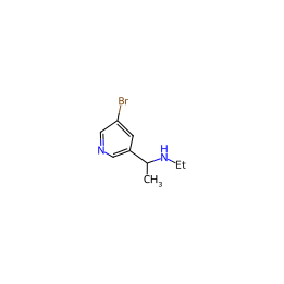 CCNC(C)c1cncc(Br)c1